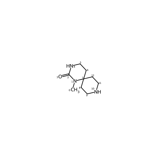 CN1C(=O)NCCC12CCNCC2